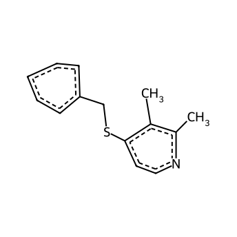 Cc1nccc(SCc2ccccc2)c1C